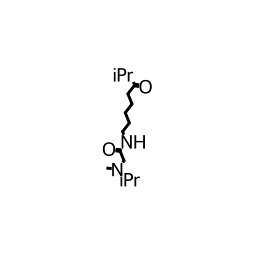 CC(C)C(=O)CCCCCNC(=O)CN(C)C(C)C